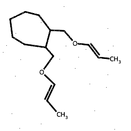 CC=COCC1CCCCCC1COC=CC